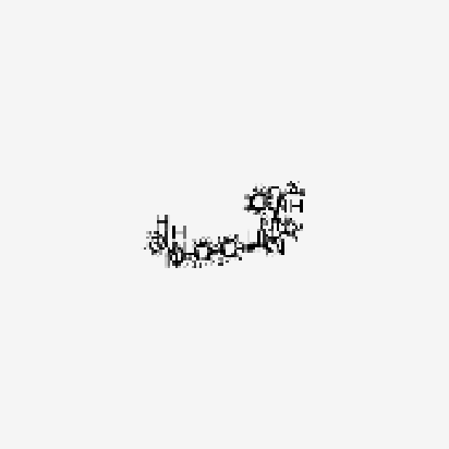 O=C(N[C@@H](C(=O)N1CCC[C@H]1c1ncc(C#Cc2ccc(-c3ccc(-c4cnc([C@@H]5CCCN5)[nH]4)cc3)cc2)[nH]1)c1ccccc1)C1CC1